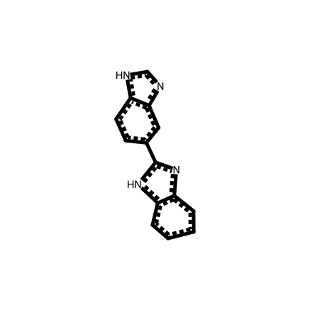 c1ccc2[nH]c(-c3ccc4[nH]cnc4c3)nc2c1